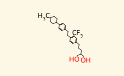 CC1CCC(c2ccc(CCc3ccc(CCCC(CO)CO)cc3C(F)(F)F)cc2)CC1